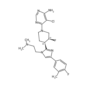 Cc1cc(-c2cn(CCN(C)C)c([C@H]3CCN(c4ncnc(N)c4Cl)C[C@H]3F)n2)ccc1F